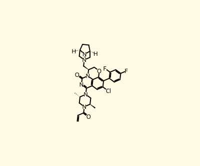 C=CC(=O)N1C[C@H](C)N(c2nc(=O)n3c4c(c(-c5ccc(F)cc5F)c(Cl)cc24)OC[C@@H]3CN2C[C@H]3CC[C@@H](C2)N3C)C[C@H]1C